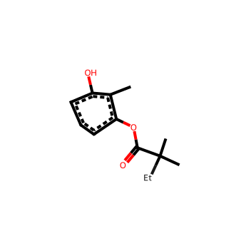 CCC(C)(C)C(=O)Oc1cccc(O)c1C